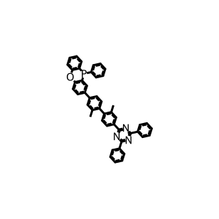 Cc1cc(-c2ccc3c(c2)P(c2ccccc2)c2ccccc2O3)ccc1-c1ccc(-c2nc(-c3ccccc3)nc(-c3ccccc3)n2)cc1C